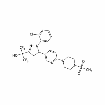 CS(=O)(=O)N1CCN(c2ccc(C3CC(C(O)(C(F)(F)F)C(F)(F)F)=NN3c3ccccc3Cl)cn2)CC1